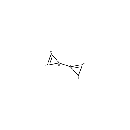 C1=C[C]1C1=CC1